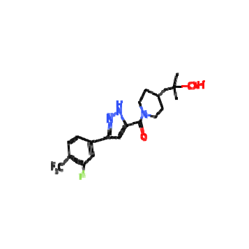 CC(C)(O)CC1CCN(C(=O)c2cc(-c3ccc(C(F)(F)F)c(F)c3)n[nH]2)CC1